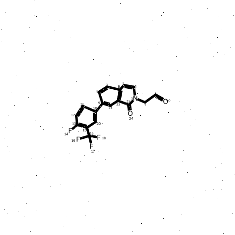 O=CCn1ccc2ccc(-c3ccc(F)c(C(F)(F)F)c3)cc2c1=O